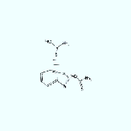 CC.CC.NC(O)=S.NC(O)=S.c1ccc2scnc2c1